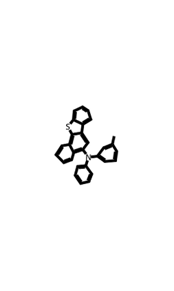 Cc1cccc(N(c2ccccc2)c2cc3c4ccccc4sc3c3ccccc23)c1